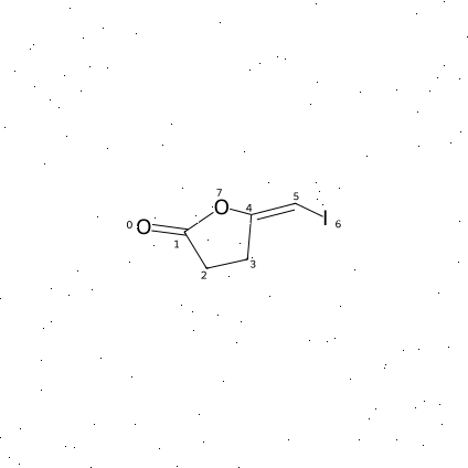 O=C1CCC(=CI)O1